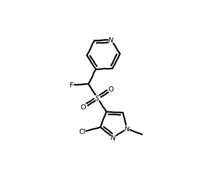 Cn1cc(S(=O)(=O)C(F)c2ccncc2)c(Cl)n1